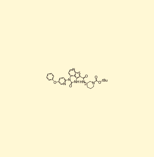 CC(C)(C)OC(=O)N1CCC[C@@H](NC(=O)c2sc3nccc4c3c2NC(=O)N4c2ccc(Oc3ccccc3)cn2)C1